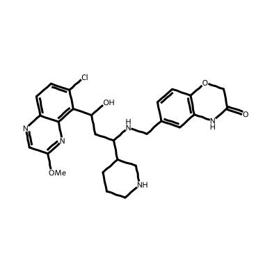 COc1cnc2ccc(Cl)c(C(O)CC(NCc3ccc4c(c3)NC(=O)CO4)C3CCCNC3)c2n1